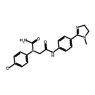 CN1CCN=C1c1ccc(NC(=O)CN(C(N)=O)c2ccc(Cl)cc2)cc1